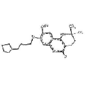 COc1cc2c3c(c(Cl)nc2cc1OCCCN1CCCC1)CCC(C)(C)N3